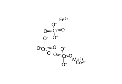 [Co+2].[Fe+2].[Mn+2].[O]=[Cr](=[O])([O-])[O-].[O]=[Cr](=[O])([O-])[O-].[O]=[Cr](=[O])([O-])[O-]